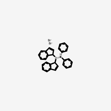 C1=C[CH]([Zr+2]([CH]2C=Cc3ccccc32)[SiH](c2ccccc2)c2ccccc2)c2ccccc21.[Br-].[Br-]